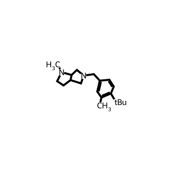 Cc1cc(CN2CC3CCN(C)C3C2)ccc1C(C)(C)C